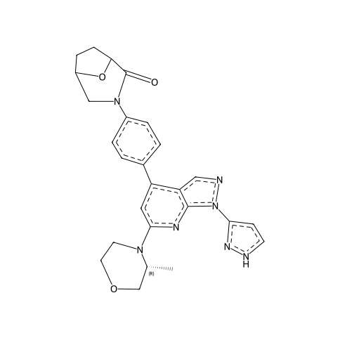 C[C@@H]1COCCN1c1cc(-c2ccc(N3CC4CCC(O4)C3=O)cc2)c2cnn(-c3cc[nH]n3)c2n1